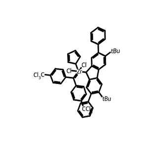 CC(C)(C)c1cc2c(cc1-c1ccccc1)[CH]([Zr]([Cl])([Cl])(=[C](c1ccc(C(Cl)(Cl)Cl)cc1)c1ccc(C(Cl)(Cl)Cl)cc1)[CH]1C=CC=C1)c1cc(-c3ccccc3)c(C(C)(C)C)cc1-2